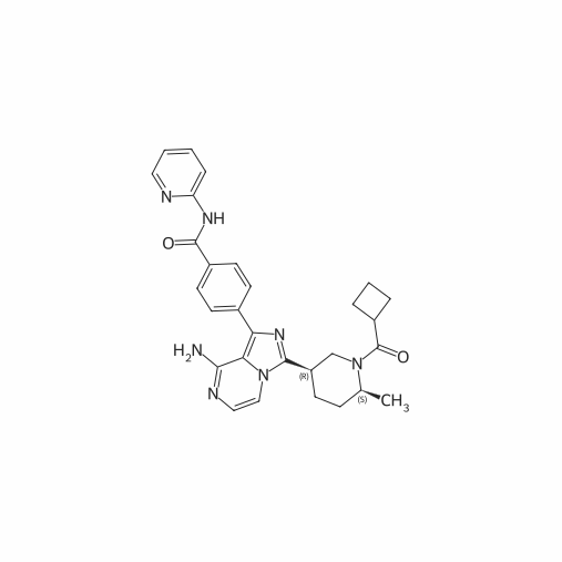 C[C@H]1CC[C@@H](c2nc(-c3ccc(C(=O)Nc4ccccn4)cc3)c3c(N)nccn23)CN1C(=O)C1CCC1